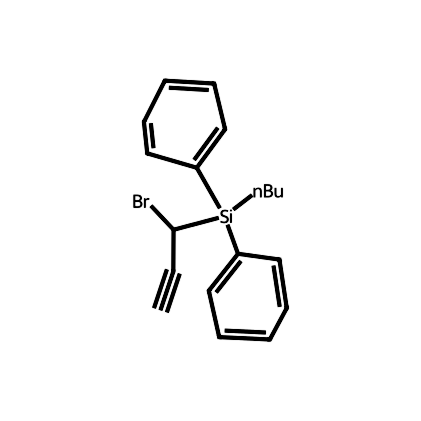 C#CC(Br)[Si](CCCC)(c1ccccc1)c1ccccc1